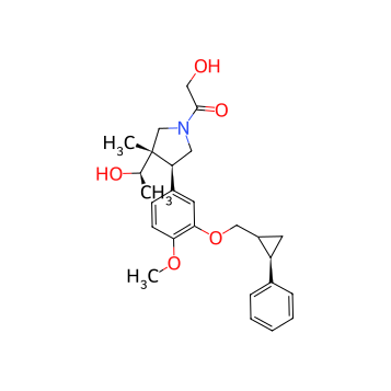 COc1ccc([C@@H]2CN(C(=O)CO)C[C@@]2(C)[C@@H](C)O)cc1OCC1C[C@H]1c1ccccc1